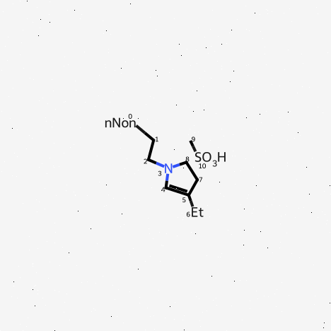 CCCCCCCCCCCN1C=C(CC)CC1.CS(=O)(=O)O